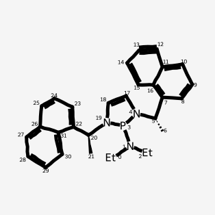 CCN(CC)P1N([C@@H](C)c2cccc3c#cccc23)C=CN1[C@@H](C)c1cccc2ccccc12